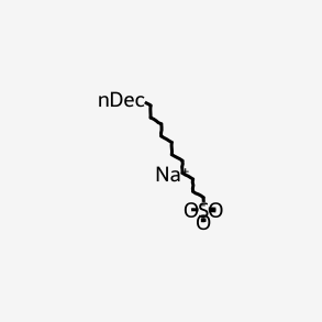 CCCCCCCCCCCCCCCCCCCCCS(=O)(=O)[O-].[Na+]